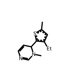 CCc1cc(C)sc1C1C=CN=CN1C